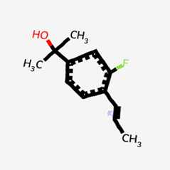 C/C=C/c1ccc(C(C)(C)O)cc1F